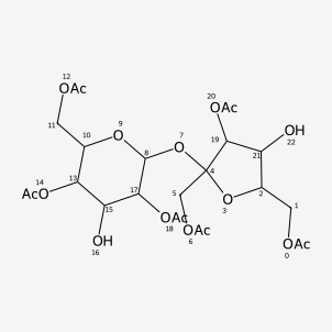 CC(=O)OCC1OC(COC(C)=O)(OC2OC(COC(C)=O)C(OC(C)=O)C(O)C2OC(C)=O)C(OC(C)=O)C1O